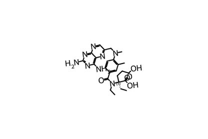 CCN(C(=O)c1ccc(N(C)Cc2cnc3nc(N)nc(N)c3n2)c(C)c1)[C@@](CC)(CCC(=O)O)C(=O)O